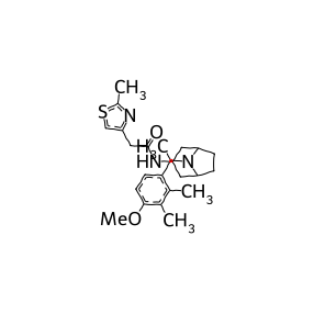 COc1ccc(C(C)N2C3CCC2CC(NC(=O)Cc2csc(C)n2)C3)c(C)c1C